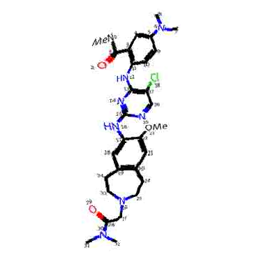 CNC(=O)c1cc(N(C)C)ccc1Nc1nc(Nc2cc3c(cc2OC)CCN(CC(=O)N(C)C)CC3)ncc1Cl